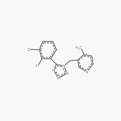 Cc1ccncc1Cn1nnnc1-c1cccc(Cl)c1Cl